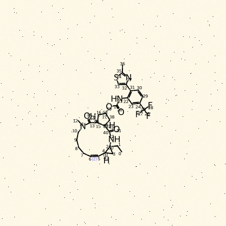 CC[C@@]12C[C@H]1/C=C\CCCCN(C)C(=O)[C@@H]1C[C@H](OC(=O)Nc3cc(C(F)(F)F)ccc3-c3csc(C)n3)C[C@H]1C(=O)N2